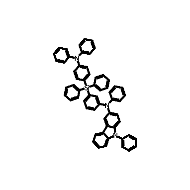 c1ccc(N(c2ccccc2)c2ccc([Si](c3ccccc3)(c3ccccc3)c3cccc(N(c4ccccc4)c4ccc5c(c4)c4ccccc4n5-c4ccccc4)c3)cc2)cc1